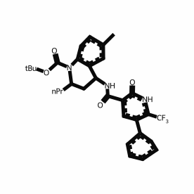 CCCC1CC(NC(=O)c2cc(-c3ccccc3)c(C(F)(F)F)[nH]c2=O)c2cc(C)ccc2N1C(=O)OC(C)(C)C